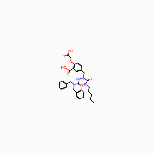 CCCCCNC(=O)[C@H](Cc1ccc(OCC(=O)O)c(C(=O)O)c1)NC(=O)N(Cc1ccccc1)Cc1ccccc1